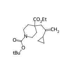 C=C(CC1(C(=O)OCC)CCN(C(=O)OC(C)(C)C)CC1)C1CC1